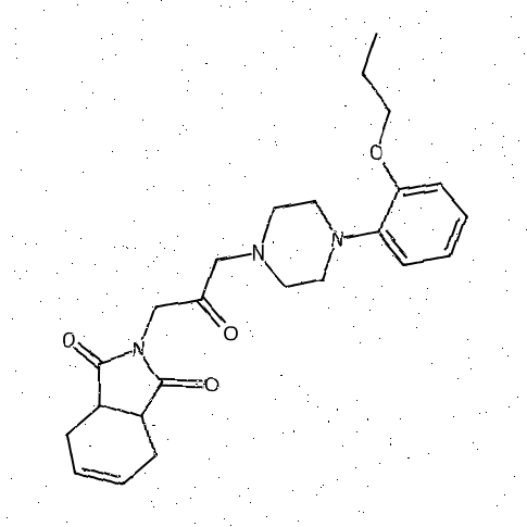 CCCOc1ccccc1N1CCN(CC(=O)CN2C(=O)C3CC=CCC3C2=O)CC1